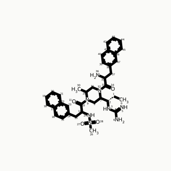 CC[C@H](NC(=N)N)C1CN(C(=O)C(Cc2ccc3ccccc3c2)NS(C)(=O)=O)C(C)CN1C(=O)C(N)Cc1ccc2ccccc2c1